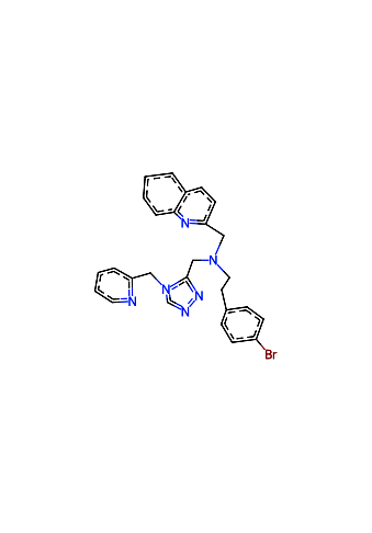 Brc1ccc(CCN(Cc2ccc3ccccc3n2)Cc2nncn2Cc2ccccn2)cc1